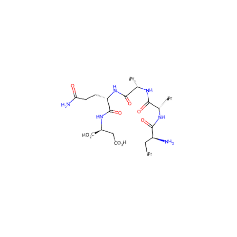 CC(C)C[C@H](N)C(=O)N[C@H](C(=O)N[C@H](C(=O)N[C@@H](CCC(N)=O)C(=O)N[C@@H](CC(=O)O)C(=O)O)C(C)C)C(C)C